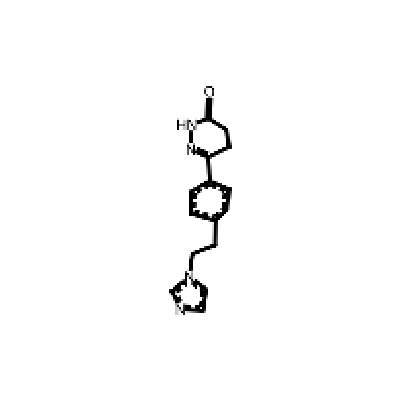 O=C1CCC(c2ccc(CCn3ccnc3)cc2)=NN1